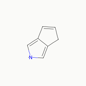 C1=CC2=C[N]C=C2C1